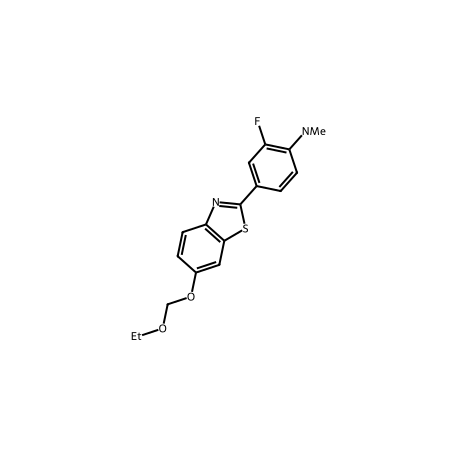 CCOCOc1ccc2nc(-c3ccc(NC)c(F)c3)sc2c1